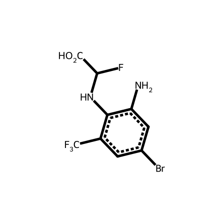 Nc1cc(Br)cc(C(F)(F)F)c1NC(F)C(=O)O